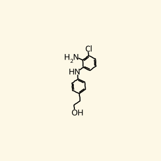 Nc1c(Cl)cccc1Nc1ccc(CCO)cc1